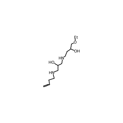 C=CCCNCC(O)CNCCC(O)COCC